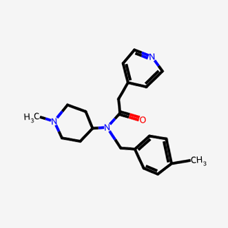 Cc1ccc(CN(C(=O)Cc2ccncc2)C2CCN(C)CC2)cc1